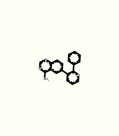 Nc1ncnc2ccc(-c3cccnc3-c3ccccc3)cc12